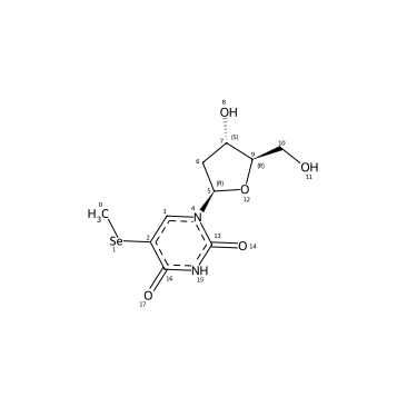 C[Se]c1cn([C@H]2C[C@H](O)[C@@H](CO)O2)c(=O)[nH]c1=O